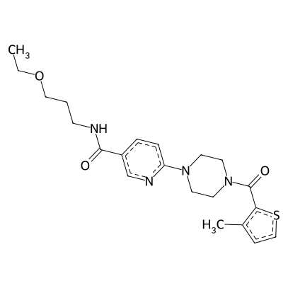 CCOCCCNC(=O)c1ccc(N2CCN(C(=O)c3sccc3C)CC2)nc1